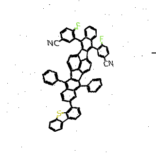 N#Cc1ccc(F)c(-c2c3c(c(-c4cc(C#N)ccc4F)c4ccccc24)-c2ccc4c5c(ccc-3c25)-c2c-4c(-c3ccccc3)c3cc(-c4cccc5c4sc4ccccc45)ccc3c2-c2ccccc2)c1